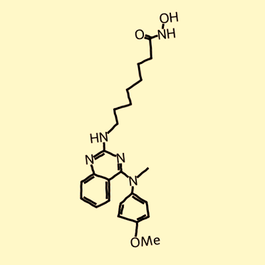 COc1ccc(N(C)c2nc(NCCCCCCCC(=O)NO)nc3ccccc23)cc1